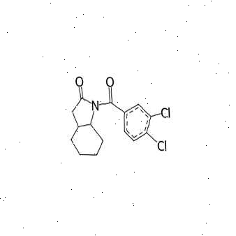 O=C1CC2CCCCC2N1C(=O)c1ccc(Cl)c(Cl)c1